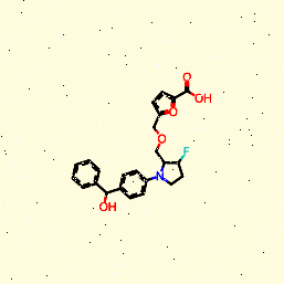 O=C(O)c1ccc(COCC2C(F)CCN2c2ccc(C(O)c3ccccc3)cc2)o1